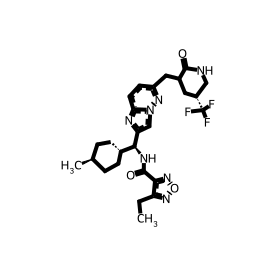 CCc1nonc1C(=O)N[C@H](c1cn2nc(CC3C[C@@H](C(F)(F)F)CNC3=O)ccc2n1)[C@H]1CC[C@H](C)CC1